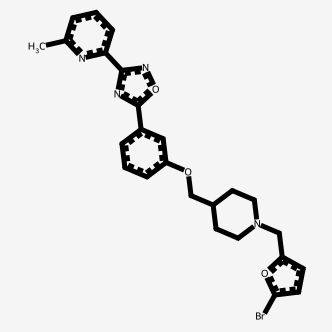 Cc1cccc(-c2noc(-c3cccc(OCC4CCN(Cc5ccc(Br)o5)CC4)c3)n2)n1